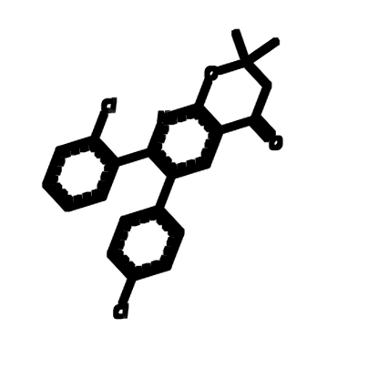 CC1(C)CC(=O)c2cc(-c3ccc(Cl)cc3)c(-c3ccccc3Cl)nc2O1